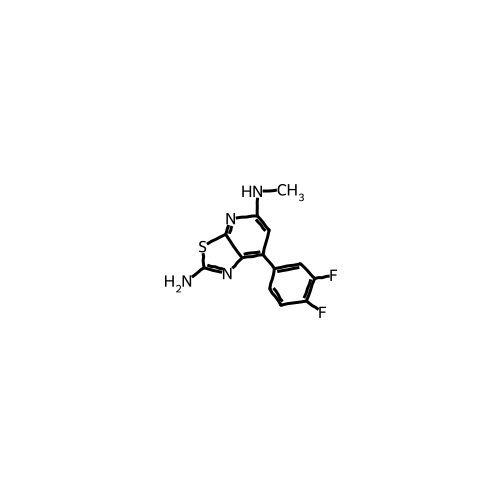 CNc1cc(-c2ccc(F)c(F)c2)c2nc(N)sc2n1